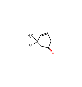 CC1(C)C=CCC(=O)C1